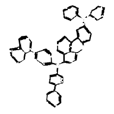 c1ccc(-c2ccc(N(c3ccc(-c4cccc5ccccc45)cc3)c3ccc4c5c(cccc35)-c3cc(N(c5ccccc5)c5ccccc5)ccc3O4)cc2)cc1